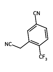 N#CCc1cc(C#N)ccc1C(F)(F)F